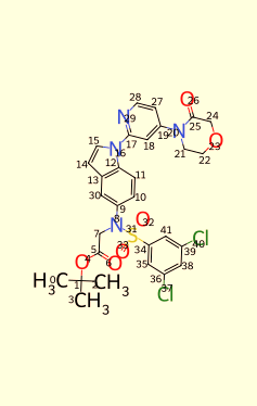 CC(C)(C)OC(=O)CN(c1ccc2c(ccn2-c2cc(N3CCOCC3=O)ccn2)c1)S(=O)(=O)c1cc(Cl)cc(Cl)c1